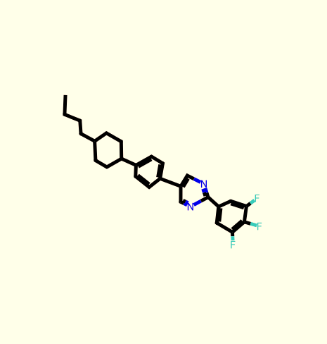 CCCCC1CCC(c2ccc(-c3cnc(-c4cc(F)c(F)c(F)c4)nc3)cc2)CC1